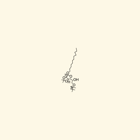 CCCCCCCCCCCCO[C@H]1O[C@H]([C@H](O)CO[Si](C)(C)C(C)(C)C)[C@@H]2OC(C)(C)O[C@H]12